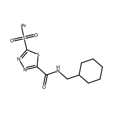 CC(C)S(=O)(=O)c1nnc(C(=O)NCC2CCCCC2)s1